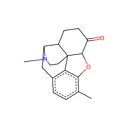 Cc1ccc2c3c1OC1C(=O)CCC4C(C2)N(C)CCC314